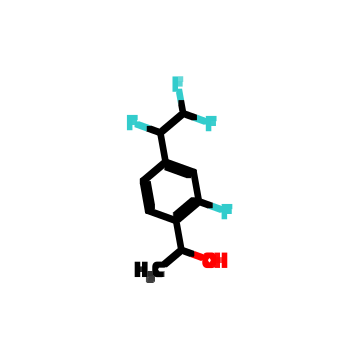 CC(O)c1ccc(C(F)C(F)F)cc1F